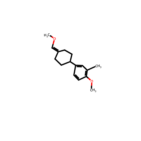 COC=C1CCC(c2ccc(OC)c(C)c2)CC1